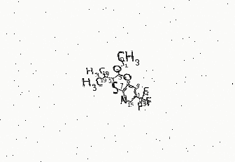 CCOC(=O)C(Sc1ccc(C(F)(F)F)cn1)C(C)C